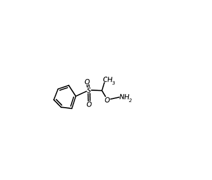 CC(ON)S(=O)(=O)c1ccccc1